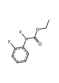 [CH2]COC(=O)N(F)c1ccccc1F